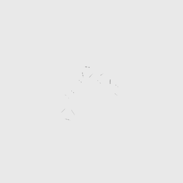 O=C1CCC(N2Cc3c(cc(F)cc3N3CCN(S(=O)(=O)Cc4cc(F)cc(F)c4)CC3)C2=O)C(=O)N1